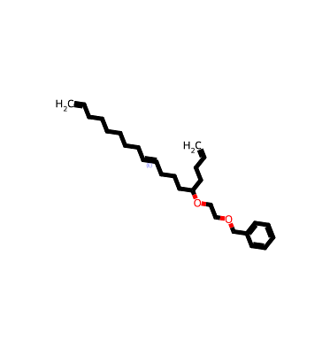 C=CCCCCCC/C=C/CCCC(CCC=C)OCCOCc1ccccc1